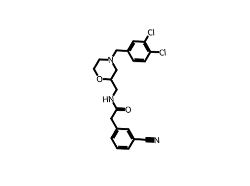 N#Cc1cccc(CC(=O)NCC2CN(Cc3ccc(Cl)c(Cl)c3)CCO2)c1